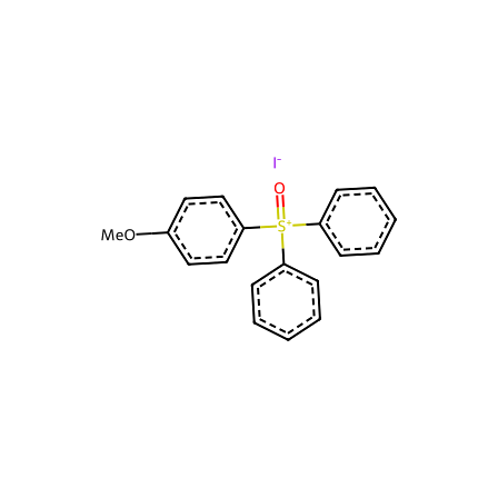 COc1ccc([S+](=O)(c2ccccc2)c2ccccc2)cc1.[I-]